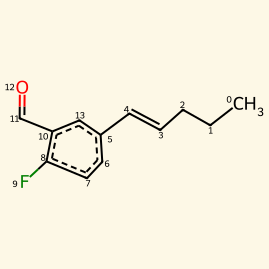 CCCC=Cc1ccc(F)c(C=O)c1